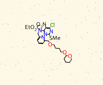 CCOC(=O)N(Cc1cccc(COCCCCOC2CCCCO2)n1)c1nc(SC)nc(Cl)c1[N+](=O)[O-]